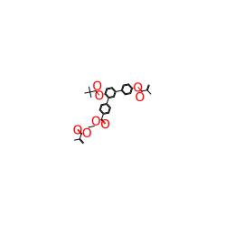 C=C(C)C(=O)OCCOC(=O)c1ccc(-c2cc(-c3ccc(OC(=O)C(=C)C)cc3)ccc2OC(=O)C(C)(C)C)cc1